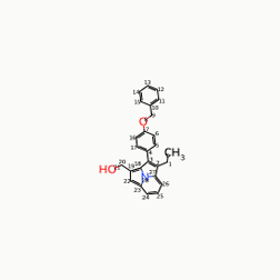 CCc1c(-c2ccc(OCc3ccccc3)cc2)c2c(CO)cc3cccc1n32